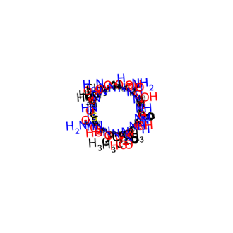 CCCC[C@H]1C(=O)N(C)[C@@H](CCCC)C(=O)N[C@@H](CO)C(=O)N[C@H](C(=O)NCC(N)=O)CSCC(=O)N[C@@H](Cc2ccc(OC)cc2)C(=O)N(C)[C@@H](C)C(=O)N[C@@H](CC(N)=O)C(=O)N2CCC[C@H]2C(=O)N[C@@H](CO)C(=O)N[C@@H](CCC(N)=O)C(=O)N2C[C@H](O)C[C@H]2C(=O)N[C@@H](Cc2c[nH]c3ccccc23)C(=O)N[C@@H](CO)C(=O)N[C@@H](Cc2cn(CC(=O)O)c3ccccc23)C(=O)N1C